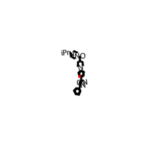 CC(C)N1CCN(C(=O)C2CCN(c3ccc(-c4nnc(-c5ccccc5)o4)cc3)CC2)CC1